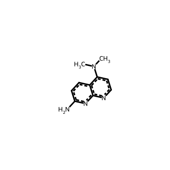 CN(C)c1ccnc2nc(N)ccc12